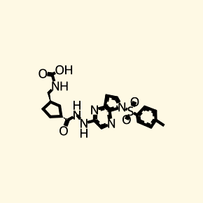 Cc1ccc(S(=O)(=O)n2ccc3nc(NNC(=O)[C@@H]4CC[C@@H](CNC(=O)O)C4)cnc32)cc1